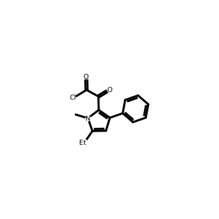 CCc1cc(-c2ccccc2)c(C(=O)C(=O)Cl)n1C